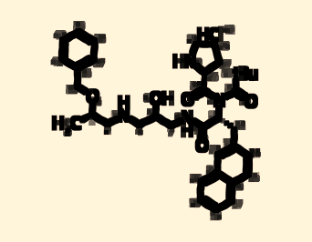 C[C@H](CNCC(O)CNC(=O)[C@@H](Cc1ccc2ccccc2c1)N(C(=O)[C@@H]1CCCN1)C(=O)C(C)(C)C)OCc1ccccc1.Cl